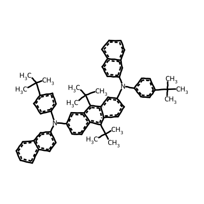 CC(C)(C)c1ccc(N(c2ccc3ccccc3c2)c2ccc3c(C(C)(C)C)c4ccc(N(c5ccc(C(C)(C)C)cc5)c5ccc6ccccc6c5)cc4c(C(C)(C)C)c3c2)cc1